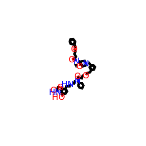 O=C1COc2c(CCNCCN(C(=O)CCOCCc3cccc(CN4CCC5(CC4)CN(C(=O)CCCOCc4ccccc4)CCO5)c3)C3CCCCC3)ccc(O)c2N1